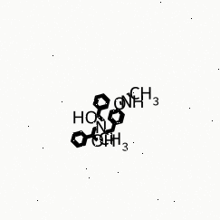 CCNOc1ccc(CC(C)N(CC(O)c2ccccc2)CC(O)c2ccccc2)cc1